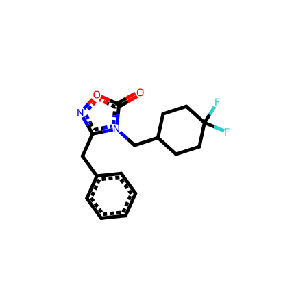 O=c1onc(Cc2ccccc2)n1CC1CCC(F)(F)CC1